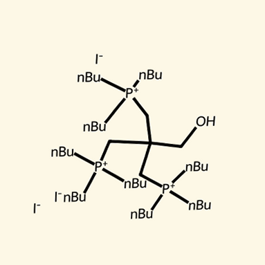 CCCC[P+](CCCC)(CCCC)CC(CO)(C[P+](CCCC)(CCCC)CCCC)C[P+](CCCC)(CCCC)CCCC.[I-].[I-].[I-]